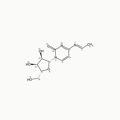 CC=Nc1ccn([C@@H]2O[C@H](CO)[C@@H](O)[C@H]2O)c(=O)n1